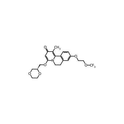 Cc1c2n(c(OC[C@@H]3COCCO3)cc1=O)CCc1cc(OCCOC(F)(F)F)ccc1-2